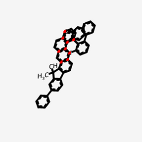 CC1(C)c2cc(-c3ccccc3)ccc2-c2ccc(N(c3cccc(-c4ccccc4)c3-c3ccccc3-c3ccccc3)c3cccc4sc5ccccc5c34)cc21